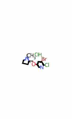 CN1CCC[C@@H]1COc1cnc(Cl)c(Br)c1.Cl